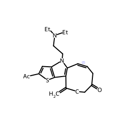 C=C1CCC(=O)C/C=C\c2c1c1sc(C(C)=O)cc1n2CCN(CC)CC